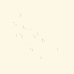 CCC(Nc1cnc(C(F)(F)F)cn1)C(CC)N(CC)C(=O)c1ncc(C)cc1-c1ncccc1F